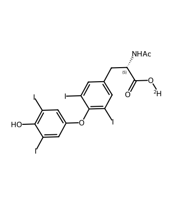 [2H]OC(=O)[C@H](Cc1cc(I)c(Oc2cc(I)c(O)c(I)c2)c(I)c1)NC(C)=O